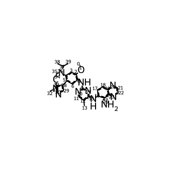 COc1cc2c(cc1Nc1ncc(C)c(Nc3ccc4nccnc4c3N)n1)-c1cnn(C)c1CCN2C(C)C